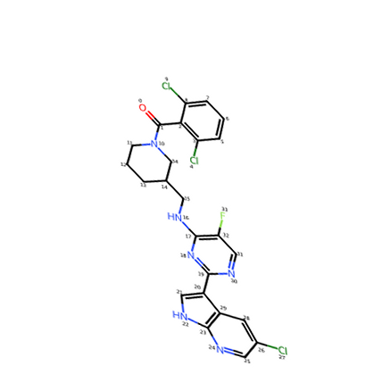 O=C(c1c(Cl)cccc1Cl)N1CCCC(CNc2nc(-c3c[nH]c4ncc(Cl)cc34)ncc2F)C1